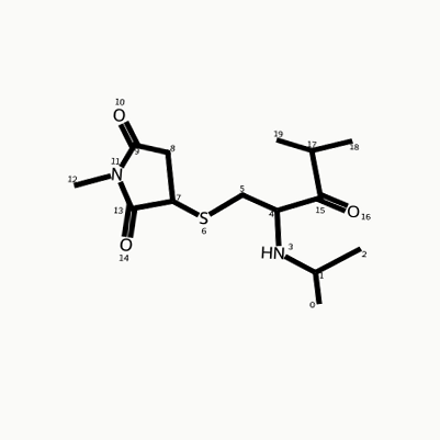 CC(C)NC(CSC1CC(=O)N(C)C1=O)C(=O)C(C)C